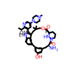 CCn1c(-c2cc(N3CCN(C)CC3)cnc2[C@H](C)OC)c2c3cc(ccc31)-c1cc(O)cc(c1)C[C@H](N)C(=O)N1CCC[C@H](N1)C(=O)OCC(C)(C)C2